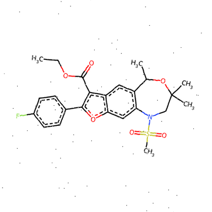 CCOC(=O)c1c(-c2ccc(F)cc2)oc2cc3c(cc12)C(C)OC(C)(C)CN3S(C)(=O)=O